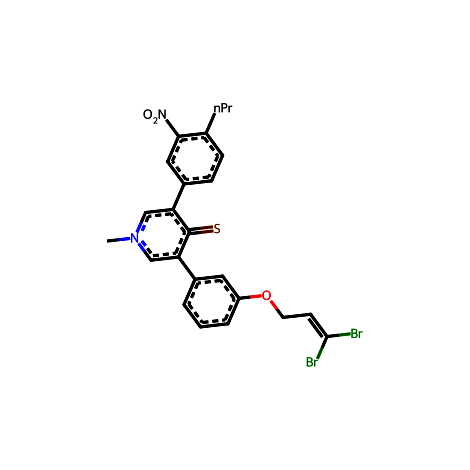 CCCc1ccc(-c2cn(C)cc(-c3cccc(OCC=C(Br)Br)c3)c2=S)cc1[N+](=O)[O-]